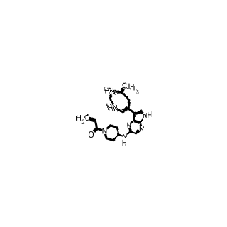 C=CC(=O)N1CCC(Nc2cnc3[nH]cc(C4=CNCNC(C)C4)c3n2)CC1